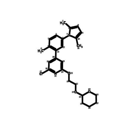 Cc1ccc(-n2c(C)ccc2C)cc1-c1cc(Cl)nc(OCCOC2CCCCO2)c1